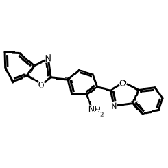 Nc1cc(-c2nc3ccccc3o2)ccc1-c1nc2ccccc2o1